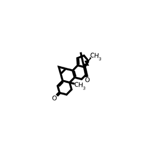 CC12CCC(=O)C=C1C1CC1C1=C2CC[C@@]23C(=O)CC[C@]2(C)CC=C13